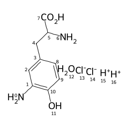 Nc1cc(CC(N)C(=O)O)ccc1O.O.[Cl-].[Cl-].[H+].[H+]